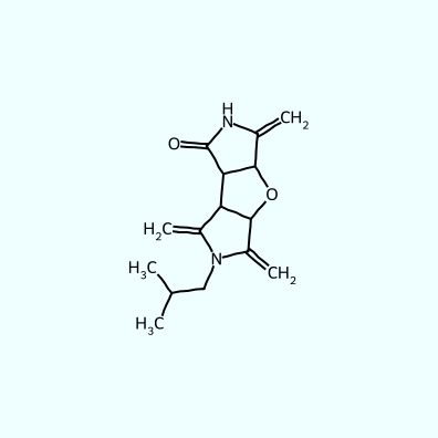 C=C1NC(=O)C2C1OC1C(=C)N(CC(C)C)C(=C)C12